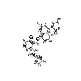 C=C/C=C(/c1cc(C)nc2c(OCc3c(Cl)cncc3CNc3nccs3)cccc12)N(C)C